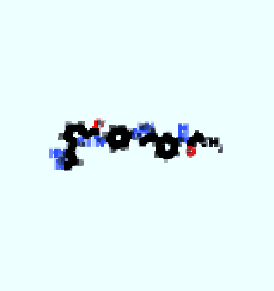 C=CC(=O)Nc1cccc(-c2cn(-c3ccc(NC(=O)c4cccc(-c5ccn[nH]5)n4)cc3)nn2)c1